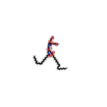 CCCCC/C=C\C/C=C\CCCCCCCCOC(=O)C1CC(OC(=O)CN2CC(OCCOC)C(OCCOC)C2)CN1C(=O)CCCCCCC/C=C\C/C=C\CCCCC